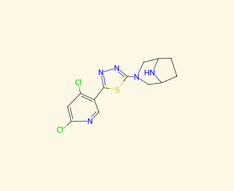 Clc1cc(Cl)c(-c2nnc(N3CC4CCC(C3)N4)s2)cn1